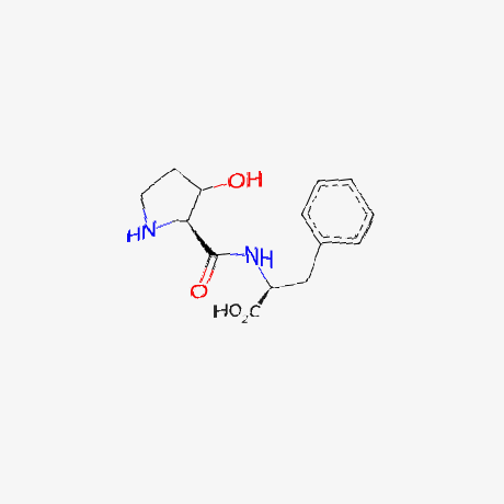 O=C(O)[C@H](Cc1ccccc1)NC(=O)[C@H]1NCCC1O